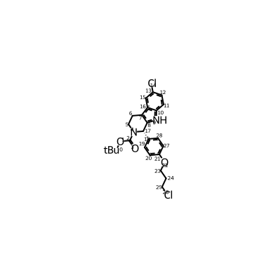 CC(C)(C)OC(=O)N1CCc2c([nH]c3ccc(Cl)cc23)[C@@H]1c1ccc(OCCCCl)cc1